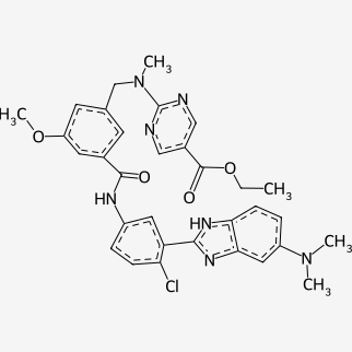 CCOC(=O)c1cnc(N(C)Cc2cc(OC)cc(C(=O)Nc3ccc(Cl)c(-c4nc5cc(N(C)C)ccc5[nH]4)c3)c2)nc1